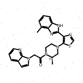 Cc1cccc2[nH]c(-c3ncsc3N3CCN(C(=O)Cn4ccc5cccnc54)[C@H](C)C3)nc12